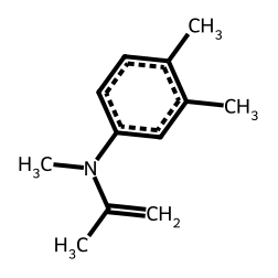 C=C(C)N(C)c1ccc(C)c(C)c1